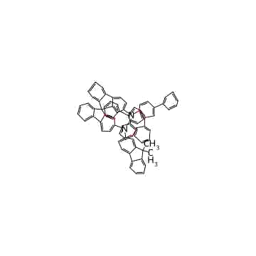 CC1(C)c2ccccc2-c2ccc(N(c3ccc4c(c3)C3(c5ccccc5-4)c4ccccc4-c4ccc(N(c5ccccc5)c5ccc(-c6ccccc6)cc5-c5ccccc5)cc43)c3ccccc3-c3ccccc3)cc21